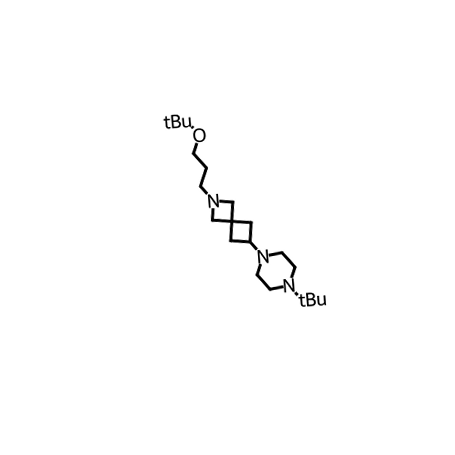 CC(C)(C)OCCCN1CC2(CC(N3CCN(C(C)(C)C)CC3)C2)C1